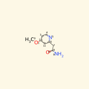 COc1ccnc(CC(N)=O)c1